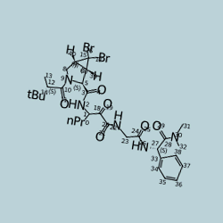 CCCC(NC(=O)[C@@H]1[C@@H]2[C@H](CN1C(=O)[C@@H](C)C(C)(C)C)C2(Br)Br)C(=O)C(=O)NCC(=O)N[C@H](C(=O)N(C)C)c1ccccc1